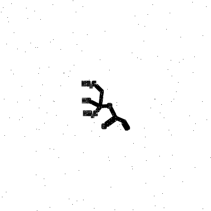 C=CC(=O)OC(O)(CC(=O)O)C(=O)O